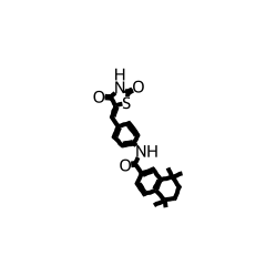 CC1(C)CCC(C)(C)c2cc(C(=O)Nc3ccc(/C=C4\SC(=O)NC4=O)cc3)ccc21